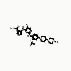 CN1CCN(C2CCN(c3ccc(Nc4ncc(Cl)c(Nc5cscc5C(N)=O)n4)c(OC(F)F)c3)CC2)CC1